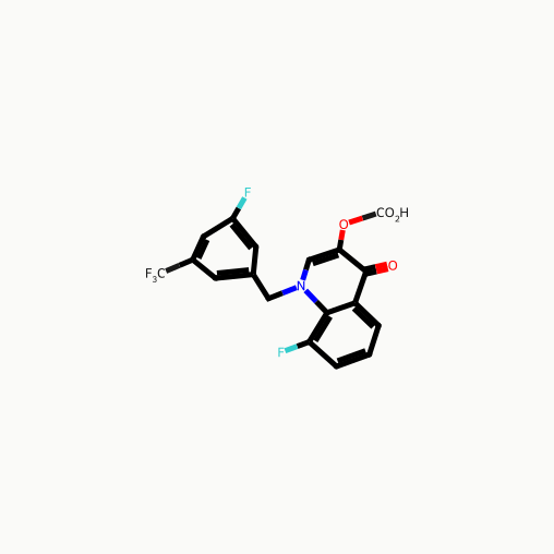 O=C(O)Oc1cn(Cc2cc(F)cc(C(F)(F)F)c2)c2c(F)cccc2c1=O